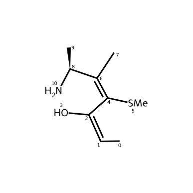 C/C=C(O)\C(SC)=C(\C)[C@H](C)N